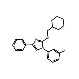 Fc1cccc(-n2cc(-c3ccccc3)nc2SCC2CCCCC2)c1